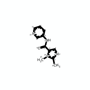 Cc1ncc(C(=O)Nc2cccnc2)n1C